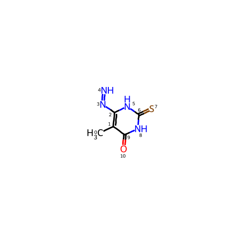 Cc1c(N=N)[nH]c(=S)[nH]c1=O